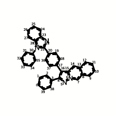 c1ccc(-c2nn3cc4ccccc4cc3c2-c2ccc(-c3nc4ccccc4n3-c3ccccc3)cc2)cc1